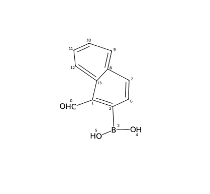 O=Cc1c(B(O)O)ccc2ccccc12